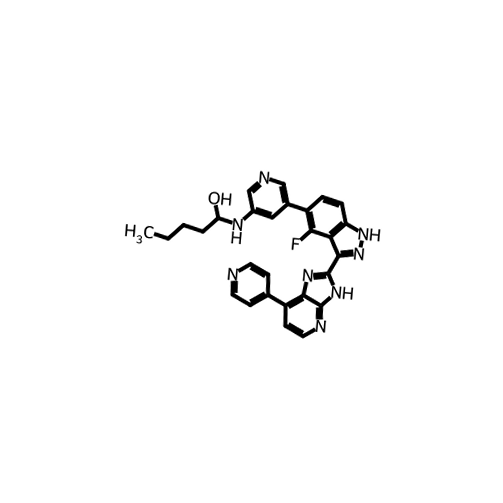 CCCCC(O)Nc1cncc(-c2ccc3[nH]nc(-c4nc5c(-c6ccncc6)ccnc5[nH]4)c3c2F)c1